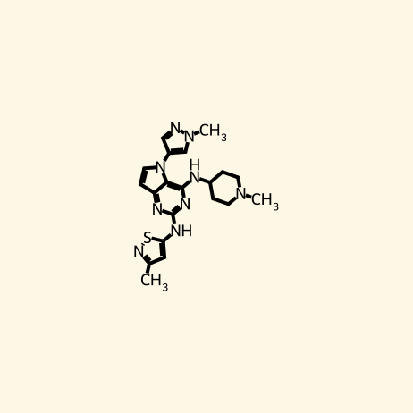 Cc1cc(Nc2nc(NC3CCN(C)CC3)c3c(ccn3-c3cnn(C)c3)n2)sn1